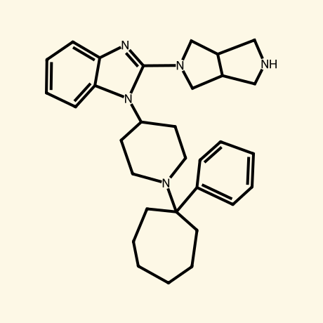 c1ccc(C2(N3CCC(n4c(N5CC6CNCC6C5)nc5ccccc54)CC3)CCCCCC2)cc1